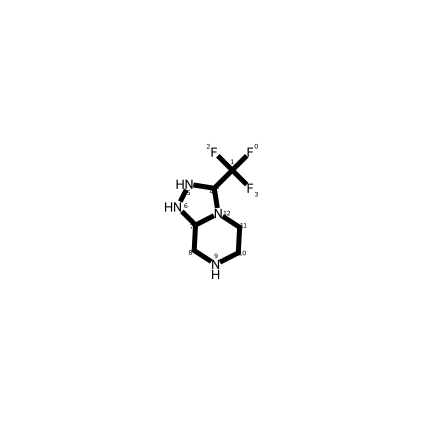 FC(F)(F)[C]1NNC2CNCCN12